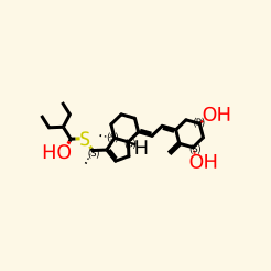 C=C1C(=CC=C2CCC[C@]3(C)C([C@H](C)SC(O)C(CC)CC)=CC[C@@H]23)C[C@@H](O)C[C@@H]1O